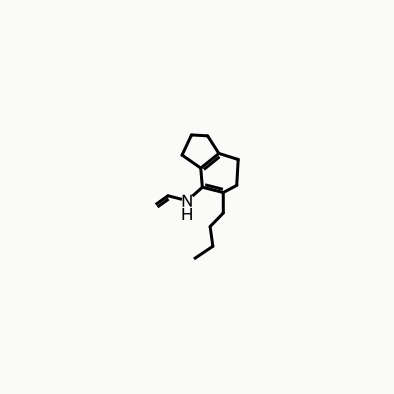 C=CNC1=C(CCCC)CCC2=C1CCC2